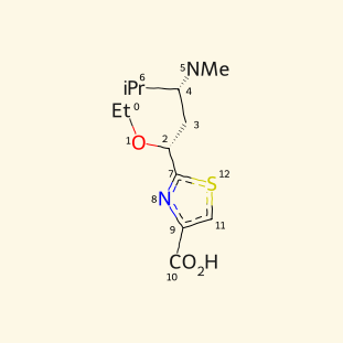 CCO[C@H](C[C@@H](NC)C(C)C)c1nc(C(=O)O)cs1